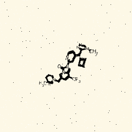 C[C@H]1CCCN(Cc2cc(C(F)(F)F)c3cn(-c4cc([C@H](c5nncn5C)C5CCC5)ccn4)c(=O)n3c2)C1